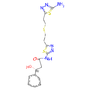 Nc1nnc(CCSCCc2nnc(NC(=O)C[C@@H](O)c3ccccc3)s2)s1